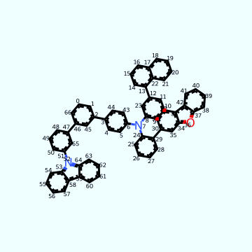 c1cc(-c2ccc(N(c3cccc(-c4cccc5ccccc45)c3)c3ccccc3-c3ccc4c(c3)oc3ccccc34)cc2)cc(-c2cccc(-n3c4ccccc4c4ccccc43)c2)c1